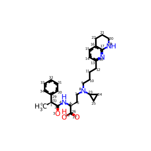 C[C@H](C(=O)N[C@@H](CCN(CCCCc1ccc2c(n1)NCCC2)C1CC1)C(=O)O)c1ccccc1